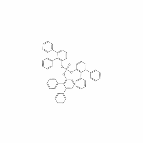 O=P(Oc1cccc(-c2ccccc2)c1-c1ccccc1)(Oc1cccc(-c2ccccc2)c1-c1ccccc1)Oc1cccc(-c2ccccc2)c1-c1ccccc1